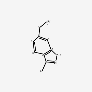 Cc1noc2cc(CC(C)C)ccc12